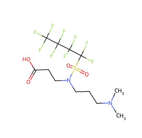 CN(C)CCCN(CCC(=O)O)S(=O)(=O)C(F)(F)C(F)(F)C(F)(F)C(F)(F)F